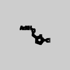 CC(=O)NOCc1ccc(Cl)s1